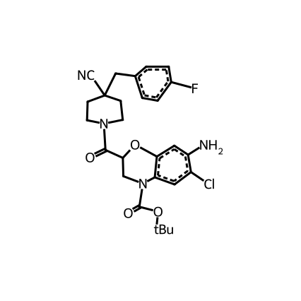 CC(C)(C)OC(=O)N1CC(C(=O)N2CCC(C#N)(Cc3ccc(F)cc3)CC2)Oc2cc(N)c(Cl)cc21